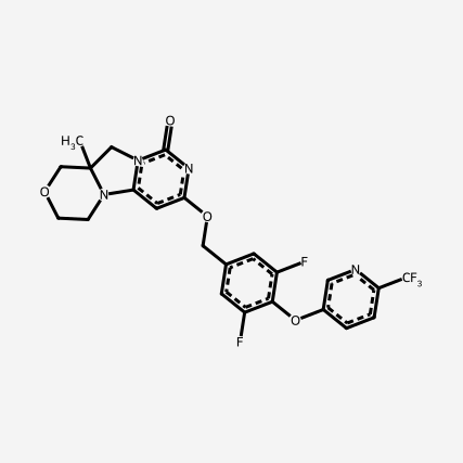 CC12COCCN1c1cc(OCc3cc(F)c(Oc4ccc(C(F)(F)F)nc4)c(F)c3)nc(=O)n1C2